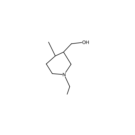 CCN1CCC(C)C(CO)C1